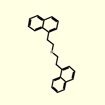 c1ccc2c(CC[N]CCc3cccc4ccccc34)cccc2c1